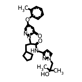 Cc1ccccc1Oc1cnn(C(CC2CCCC2)C(=O)Nc2ccn(CC(C)(C)O)n2)c(=O)c1